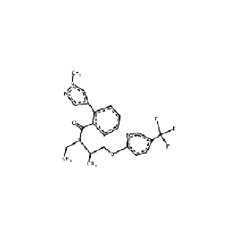 CCN(C(=O)c1ccccc1-c1cnn(C)c1)C(C)COc1ccc(C(F)(F)F)cn1